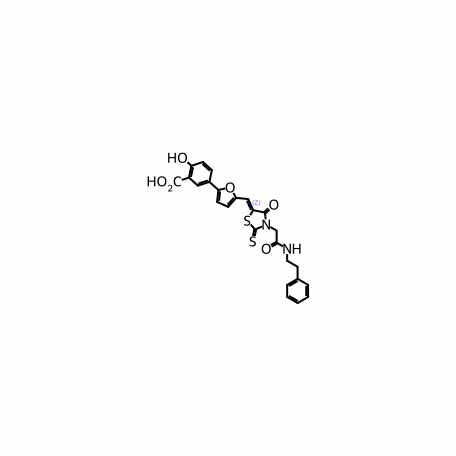 O=C(CN1C(=O)/C(=C/c2ccc(-c3ccc(O)c(C(=O)O)c3)o2)SC1=S)NCCc1ccccc1